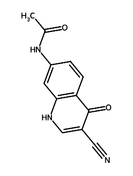 CC(=O)Nc1ccc2c(=O)c(C#N)c[nH]c2c1